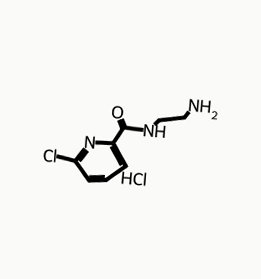 Cl.NCCNC(=O)c1cccc(Cl)n1